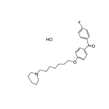 Cl.O=C(c1ccc(F)cc1)c1ccc(OCCCCCCCN2CCCCC2)cc1